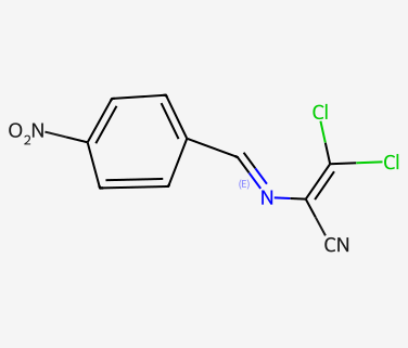 N#CC(/N=C/c1ccc([N+](=O)[O-])cc1)=C(Cl)Cl